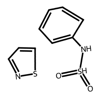 O=[SH](=O)Nc1ccccc1.c1cnsc1